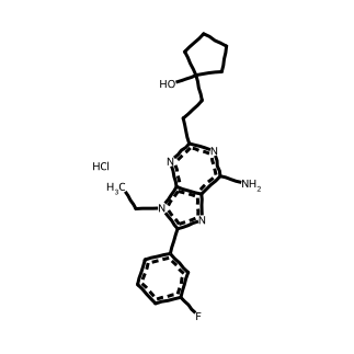 CCn1c(-c2cccc(F)c2)nc2c(N)nc(CCC3(O)CCCC3)nc21.Cl